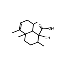 CC1=CCC(C)C2C1(C)CCC(C)C2(O)C(=O)O